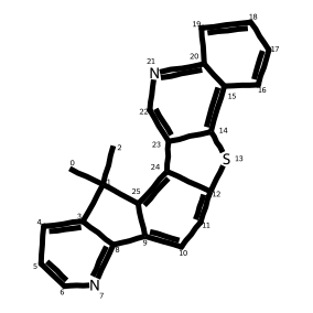 CC1(C)c2cccnc2-c2ccc3sc4c5ccccc5ncc4c3c21